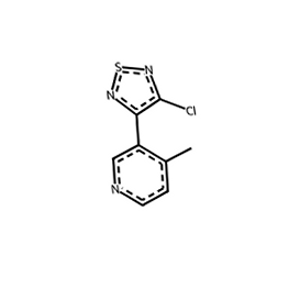 Cc1ccncc1-c1nsnc1Cl